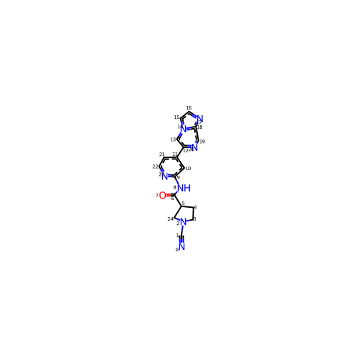 N#CN1CCC(C(=O)Nc2cc(-c3cn4ccnc4cn3)ccn2)C1